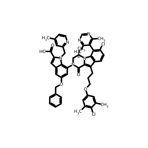 Cc1ccnc(Cn2c(C(=O)O)cc3cc(OCc4ccccc4)cc(N4C[C@@H](C)n5c(c(CCCOc6cc(C)c(Cl)c(C)c6)c6ccc(Cl)c(-c7c(C)ncnc7C)c65)C4=O)c32)c1